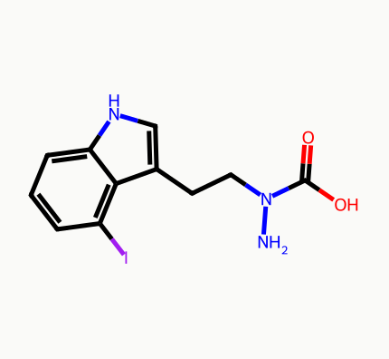 NN(CCc1c[nH]c2cccc(I)c12)C(=O)O